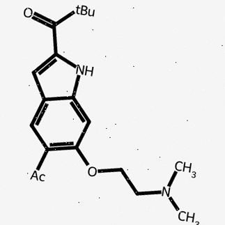 CC(=O)c1cc2cc(C(=O)C(C)(C)C)[nH]c2cc1OCCN(C)C